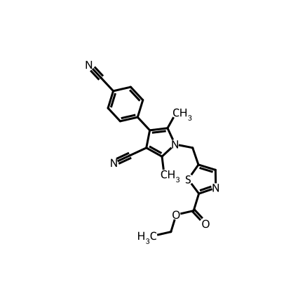 CCOC(=O)c1ncc(Cn2c(C)c(C#N)c(-c3ccc(C#N)cc3)c2C)s1